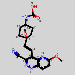 COc1ccc2nnc(C#N)c(C=CC34CCC(NC(=O)O)(CC3)CO4)c2n1